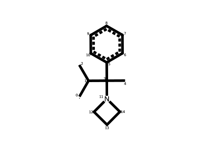 [CH2]C(C)C(C)(c1ccccc1)N1CCC1